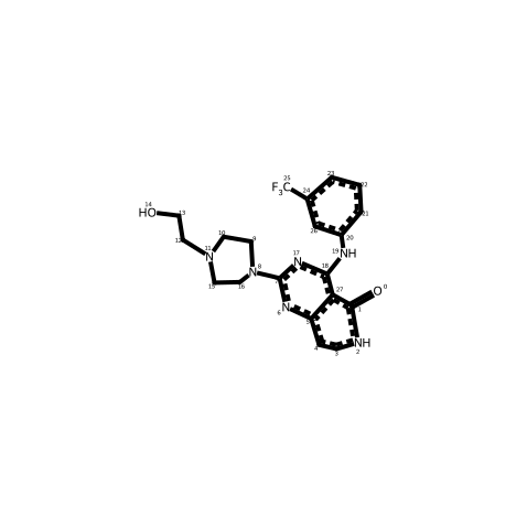 O=c1[nH]ccc2nc(N3CCN(CCO)CC3)nc(Nc3cccc(C(F)(F)F)c3)c12